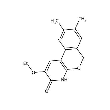 CCOc1cc2c([nH]c1=O)OCc1cc(C)c(C)nc1-2